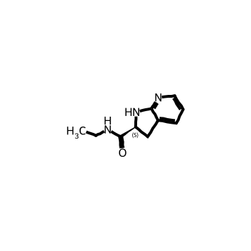 CCNC(=O)[C@@H]1Cc2cccnc2N1